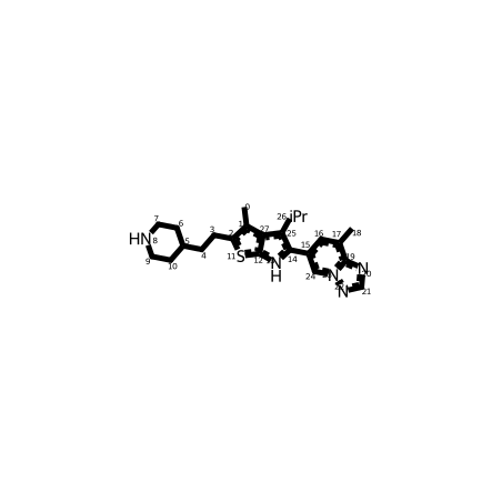 Cc1c(CCC2CCNCC2)sc2[nH]c(-c3cc(C)c4ncnn4c3)c(C(C)C)c12